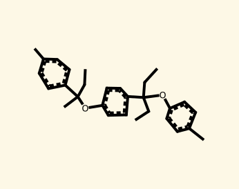 CCC(C)(Oc1ccc(C(CC)(CC)Oc2ccc(C)cc2)cc1)c1ccc(C)cc1